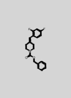 O=C(OCc1ccccc1)N1CCC(=Cc2ccc(F)cc2F)CC1